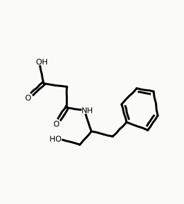 O=C(O)CC(=O)NC(CO)Cc1ccccc1